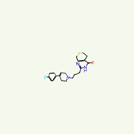 O=c1[nH]c(CCCN2CC=C(c3ccc(F)cc3)CC2)nc2c1CCSC2